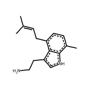 CC(C)=CCc1ccc(C)c2[nH]cc(CCN)c12